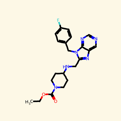 CCOC(=O)N1CCC(NCc2nc3cncnc3n2Cc2ccc(F)cc2)CC1